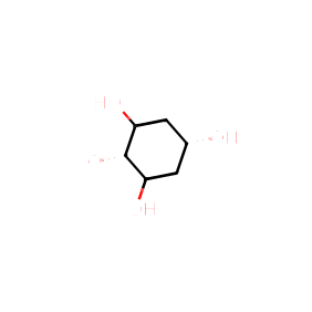 OC1C[C@H](O)CC(O)[C@@H]1O